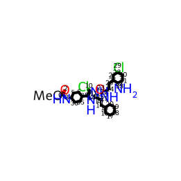 COC(=O)NC1CCC(C2=C(Cl)NC([C@H](CC3CCCCC3)NC(=O)CCC3CC(Cl)CCC3N)N2)CC1